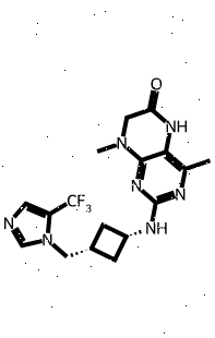 Cc1nc(N[C@H]2C[C@@H](Cn3cncc3C(F)(F)F)C2)nc2c1NC(=O)CN2C